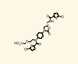 O=C(O)COCCN(C(=O)c1ccc(Cl)s1)c1ccc(N2C[C@H](CNC(=O)c3ccc(Cl)s3)OC2=O)cc1